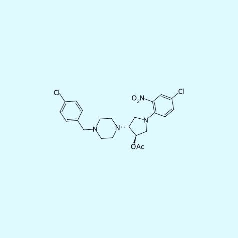 CC(=O)O[C@@H]1CN(c2ccc(Cl)cc2[N+](=O)[O-])C[C@H]1N1CCN(Cc2ccc(Cl)cc2)CC1